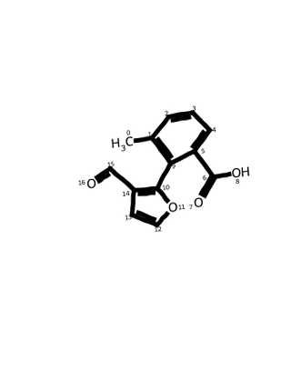 Cc1cccc(C(=O)O)c1-c1occc1C=O